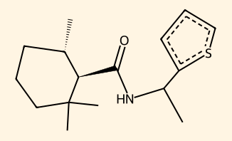 CC(NC(=O)[C@@H]1[C@@H](C)CCCC1(C)C)c1cccs1